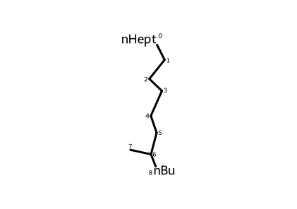 [CH2]CCCCCCCCCCCC(C)CCC[CH2]